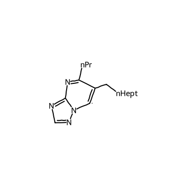 CCCCCCCCc1[c]n2ncnc2nc1CCC